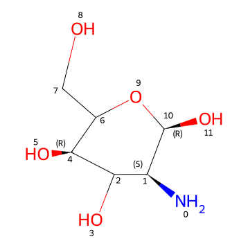 N[C@H]1C(O)[C@@H](O)C(CO)O[C@H]1O